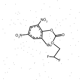 CCC(C)c1cc([N+](=O)[O-])cc([N+](=O)[O-])c1OC(=O)OCC(F)F